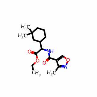 CCOC(=O)C(NC(=O)c1conc1C)C1CCCC(C)(C)C1